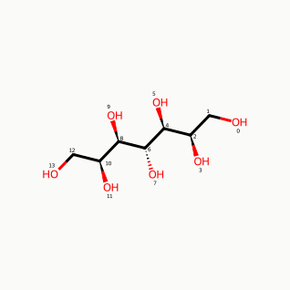 OC[C@@H](O)[C@H](O)[C@H](O)[C@H](O)[C@@H](O)CO